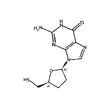 Nc1nc2c(ncn2[C@H]2CC[C@@H](CS)O2)c(=O)[nH]1